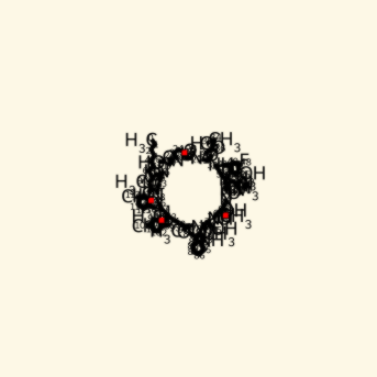 CCCCCCCCN(C)C(=O)[C@@H]1CC(=O)N[C@@H](CO)C(=O)N2CCC[C@H]2C(=O)N[C@@H](CCS(C)(=O)=O)C(=O)N[C@@H](Cc2ccc(O)c(F)c2)C(=O)N(C)[C@@](C)(Cc2cnc[nH]2)C(=O)NC[C@@](C)(O)C(=O)N[C@@H]([C@@H](C)O)C(=O)N[C@@H](Cc2c[nH]c3ccccc23)C(=O)C(C)[C@@H](Cc2ccc(Cl)cc2)C(=O)N(C)[C@@H](Cc2ccc(Cl)cc2)C(=O)N1